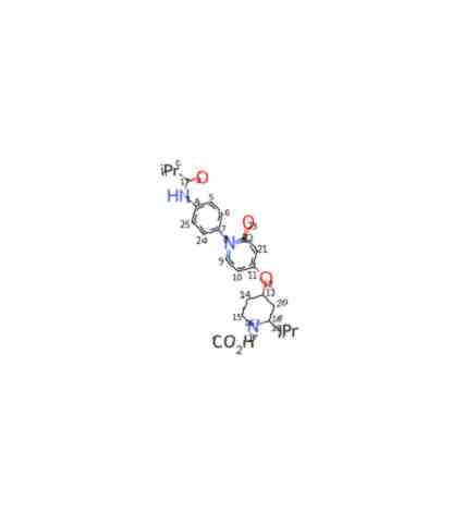 CC(C)C(=O)Nc1ccc(-n2ccc(OC3CCN(C(=O)O)C(C(C)C)C3)cc2=O)cc1